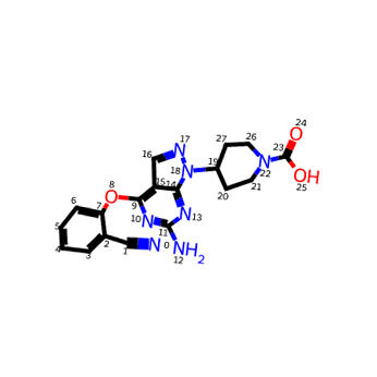 N#Cc1ccccc1Oc1nc(N)nc2c1cnn2C1CCN(C(=O)O)CC1